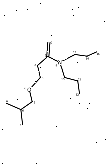 C=C(CCOCC(C)C)N(CCC)CCC